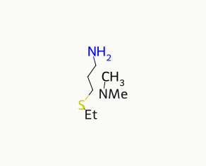 CCSCCCN.CNC